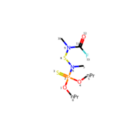 CCCOP(=S)(OCCC)N(C)SN(C)C(=O)F